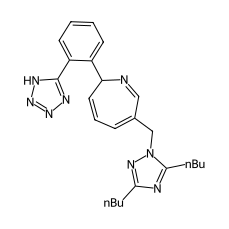 CCCCc1nc(CCCC)n(CC2=CC=CC(c3ccccc3-c3nnn[nH]3)N=C2)n1